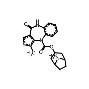 Cc1scc2c1N(C(=O)OC1CC3CCC(C1)N3C)c1ccccc1NC2=O